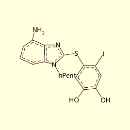 CCCCCn1c(Sc2cc(O)c(O)cc2I)nc2c(N)cccc21